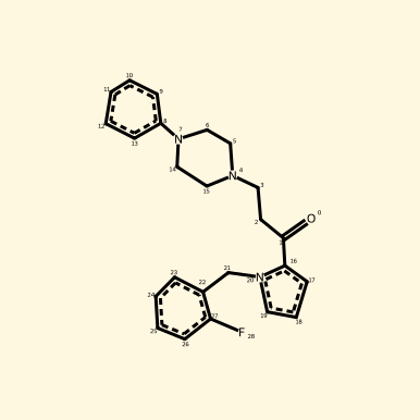 O=C(CCN1CCN(c2ccccc2)CC1)c1cccn1Cc1ccccc1F